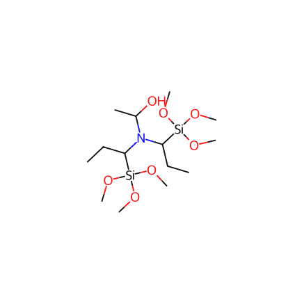 CCC(N(C(C)O)C(CC)[Si](OC)(OC)OC)[Si](OC)(OC)OC